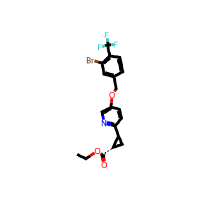 CCOC(=O)[C@H]1CC1c1ccc(OCc2ccc(C(F)(F)F)c(Br)c2)cn1